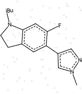 CCC(C)N1CCc2cc(-c3cnn(C)c3)c(F)cc21